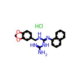 Cl.N=C(N)NC(=Nc1cccc2ccccc12)NCc1ccc2c(c1)OCO2